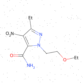 CCOCCn1nc(CC)c([N+](=O)[O-])c1C(N)=O